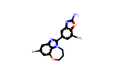 Cc1cc(-c2nc3cc(Br)cc4c3n2CCCO4)cc2nc(N)oc12